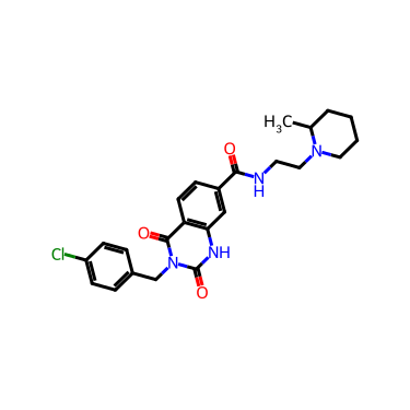 CC1CCCCN1CCNC(=O)c1ccc2c(=O)n(Cc3ccc(Cl)cc3)c(=O)[nH]c2c1